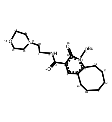 CCCCn1c2c(cc(C(=O)NCCN3CCOCC3)c1=O)CCCCCC2